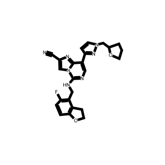 N#Cc1cn2c(NCc3c(F)ccc4c3CCO4)ncc(-c3ccn(CC4CCCO4)n3)c2n1